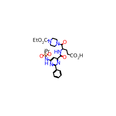 CCOC(=O)N1CCN(C(=O)C(CCC(=O)O)NC(=O)c2cc(NS(=O)(=O)C(C)C)nc(-c3ccccc3)n2)CC1